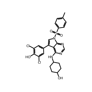 Cc1ccc(S(=O)(=O)n2cc(-c3cc(Cl)c(O)c(Cl)c3)c3c(NC4CCC(O)CC4)ncnc32)cc1